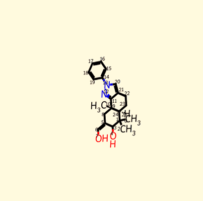 CC1(C)C(O)/C(=C\O)C[C@]2(C)c3nn(-c4ccccc4)cc3CC[C@@H]12